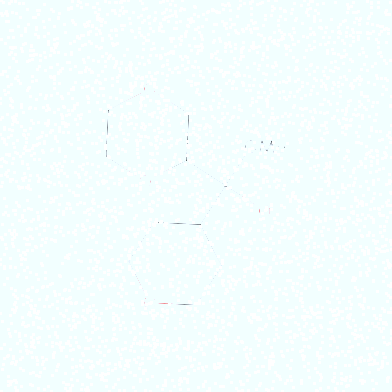 COC([O])(C1CCOCC1)C1COCCO1